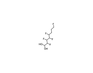 OC(O)C(F)C(F)C(F)C(F)CCCF